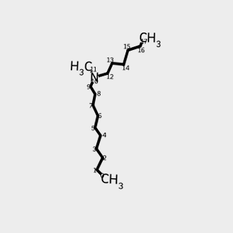 CCCCCCCCCCN(C)CCCCCC